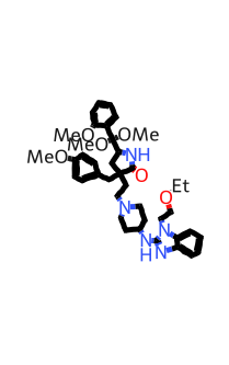 CCOCCn1c(NC2CCN(CCC3(Cc4ccc(OC)cc4)CC(C(OC)(OC)c4ccccc4OC)NC3=O)CC2)nc2ccccc21